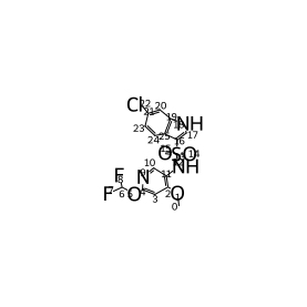 COc1cc(OC(F)F)ncc1NS(=O)(=O)c1c[nH]c2cc(Cl)ccc12